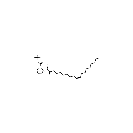 CCCCCCCC/C=C\CCCCCCCC(=O)C(N)[C@@H]1CCCN1C(=O)OC(C)(C)C